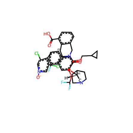 O=C(O)c1cccc(CN(C(=O)O[C@H]2CN3CCC2CC3)c2cccc(F)c2)c1[C@@H](Cc1c(Cl)c[n+]([O-])cc1Cl)c1ccc(OC(F)F)c(OCC2CC2)c1